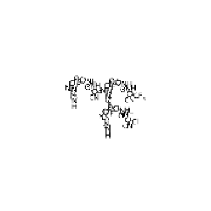 N#Cc1ccc(NC(=O)Nc2ccc(Oc3ccc4ncc(N5CCNCC5)nc4c3)c(F)c2)cc1C(F)(F)F.N#Cc1ccc(NC(=O)Nc2ccc(Oc3ccc4ncc(N5CCNCC5)nc4c3)c(F)c2)cc1Cl.N#Cc1ccc(NC(=O)Nc2ccc(Oc3ccc4ncc(N5CCNCC5)nc4c3)c(F)c2)cc1F